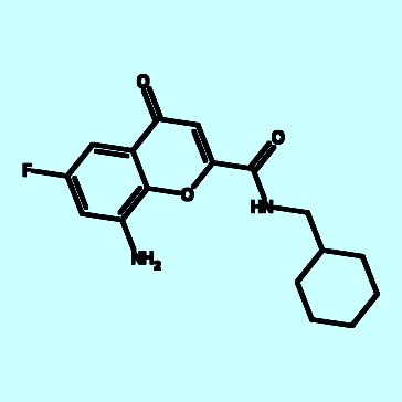 Nc1cc(F)cc2c(=O)cc(C(=O)NCC3CCCCC3)oc12